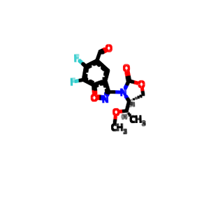 CO[C@@H](C)[C@H]1COC(=O)N1c1noc2c(F)c(F)c(C=O)cc12